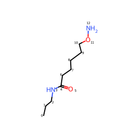 CCCNC(=O)CCCCCON